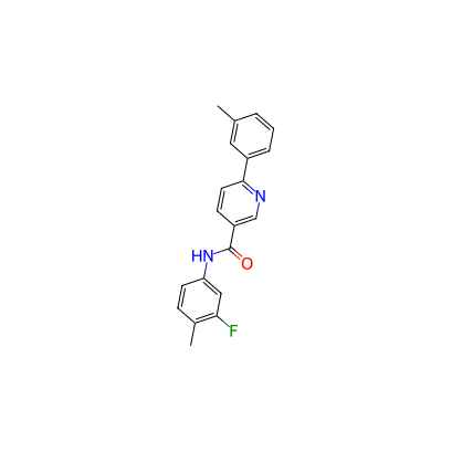 Cc1cccc(-c2ccc(C(=O)Nc3ccc(C)c(F)c3)cn2)c1